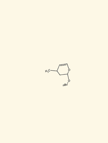 CCCCOC1CC(C)C=CO1